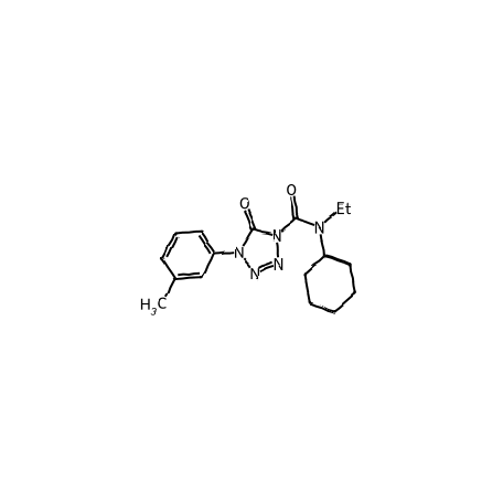 CCN(C(=O)n1nnn(-c2cccc(C)c2)c1=O)C1CCCCC1